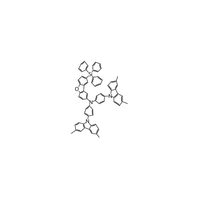 Cc1ccc2c(c1)c1cc(C)ccc1n2-c1ccc(N(c2ccc(-n3c4ccc(C)cc4c4cc(C)ccc43)cc2)c2ccc3oc4ccc([Si](c5ccccc5)(c5ccccc5)c5ccccc5)cc4c3c2)cc1